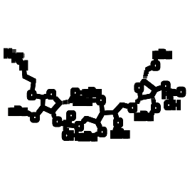 CCCCOC[C@H]1O[C@@H](OCC(OCCCC)C(OCCCC)C(COP(=O)(O)O[C@@H]2C(OCCCC)C(OCCN=[N+]=[N-])O[C@@H]2COCCCC)OCCCC)[C@@H](OCCCC)C1O[PH](=O)O